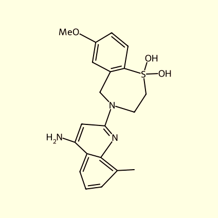 COc1ccc2c(c1)CN(c1cc(N)c3cccc(C)c3n1)CCS2(O)O